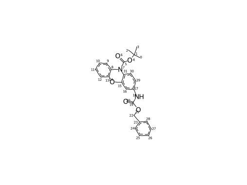 CC(C)(C)OC(=O)N1c2ccccc2Oc2cc(NC(=O)OCc3ccccc3)ccc21